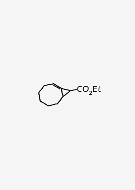 CCOC(=O)C1C2=CCCCCCC21